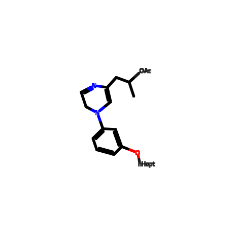 CCCCCCCOc1cccc(N2C=C(CC(C)OC(C)=O)N=CC2)c1